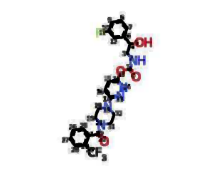 O=C(NCC(O)c1cccc(F)c1)Oc1ccc(N2CCN(C(=O)c3ccccc3C(F)(F)F)CC2)nn1